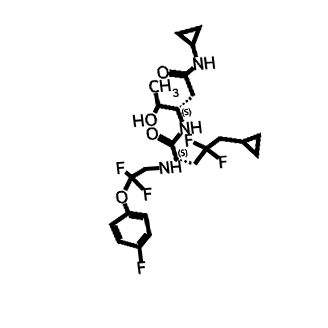 CC(O)[C@H](CC(=O)NC1CC1)NC(=O)[C@H](CC(F)(F)CC1CC1)NCC(F)(F)Oc1ccc(F)cc1